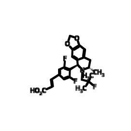 C[C@H]1Cc2cc3c(cc2[C@H](c2c(F)cc(/C=C/C(=O)O)cc2F)N1CC(C)(C)F)OCO3